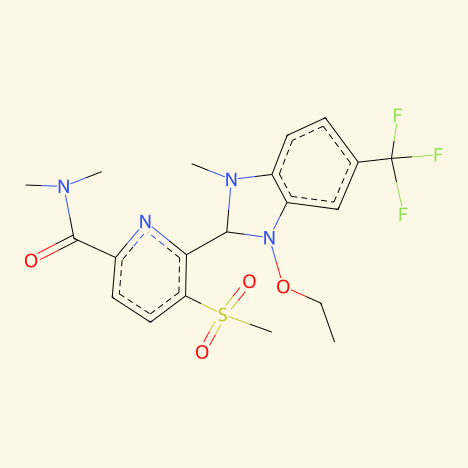 CCON1c2cc(C(F)(F)F)ccc2N(C)C1c1nc(C(=O)N(C)C)ccc1S(C)(=O)=O